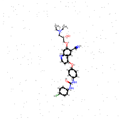 CCN(CC)C[C@H](O)COc1cc2nccc(Oc3ccc(NC(=O)Nc4ccc(F)cc4)cc3)c2cc1C#N